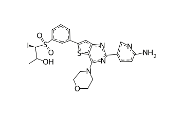 CC(O)[C@@H](I)S(=O)(=O)c1cccc(-c2cc3nc(-c4ccc(N)nc4)nc(N4CCOCC4)c3s2)c1